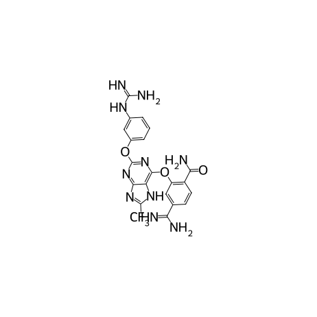 N=C(N)Nc1cccc(Oc2nc(Oc3cc(C(=N)N)ccc3C(N)=O)c3[nH]c(C(F)(F)F)nc3n2)c1